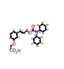 O=C(O)COc1cccc(/C=C/COC(=O)N(c2ccccc2)c2ccccc2)c1